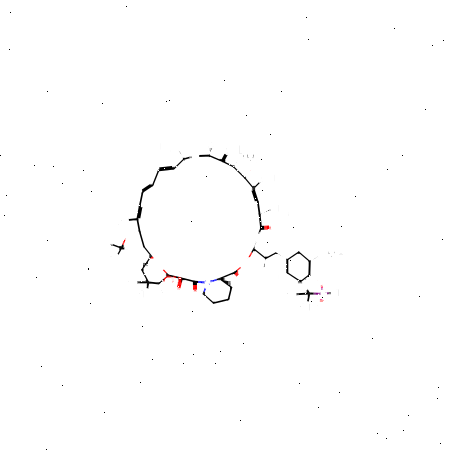 [2H]C([2H])([2H])O[C@H]1C[C@@H]2CC([2H])([2H])[C@@H](C)[C@@](O)(O2)C(=O)C(=O)N2CCCC[C@H]2C(=O)O[C@H]([C@H](C)C[C@@H]2CC[C@@H](OP(C)(=O)C([2H])([2H])[2H])[C@H](OC)C2)CC(=O)[C@H](C)/C=C(\C)[C@@H](O)[C@@H](OC)C(=C)[C@H](C)C[C@H](C)/C=C/C=C/C=C/1C